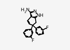 Nc1n[nH]c2c1C=CC(c1cccc(F)c1)(c1cccc(F)c1)C2